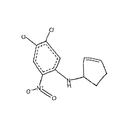 O=[N+]([O-])c1cc(Cl)c(Cl)cc1NC1C=CCC1